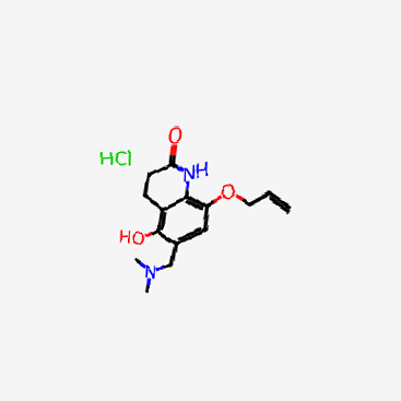 C=CCOc1cc(CN(C)C)c(O)c2c1NC(=O)CC2.Cl